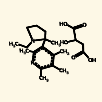 CCN1CCCC1(C)c1c(C)nc(C)c(C)c1C.O=C(O)CC(O)C(=O)O